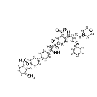 COC1(Cc2ccccc2C)CCN(c2ccc(C(=N)NS(=O)(=O)c3ccc(N[C@H](CCN4CCOCC4)CSc4ccccc4)c([N+](=O)[O-])c3)cc2)CC1